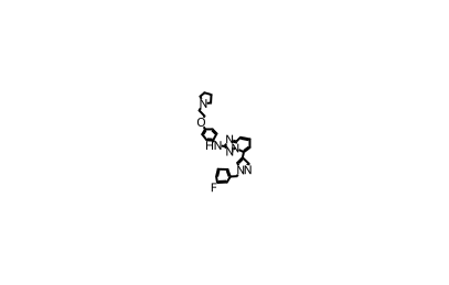 Fc1cccc(Cn2cc(-c3cccc4nc(Nc5ccc(OCCN6CCCC6)cc5)nn34)cn2)c1